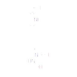 ONN(O)OCCCONOO